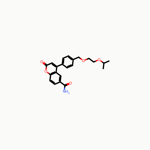 CC(C)OCCOCc1ccc(-c2cc(=O)oc3ccc(C(N)=O)cc23)cc1